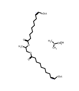 CCCCCCCC/C=C\CCCCCCCC(=O)OCC(C)OC(=O)CCCCCCC/C=C\CCCCCCCC.CN(C)C.Cl